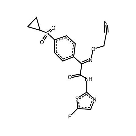 N#CCO/N=C(/C(=O)Nc1ncc(F)s1)c1ccc(S(=O)(=O)C2CC2)cc1